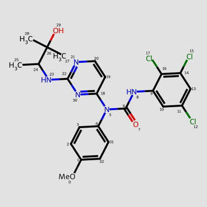 COc1ccc(N(C(=O)Nc2cc(Cl)cc(Cl)c2Cl)c2ccnc(NC(C)C(C)(C)O)n2)cc1